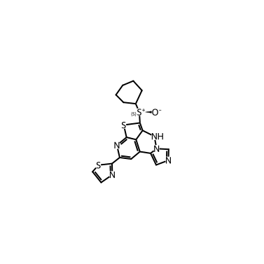 [O-][S@@+](c1sc2nc(-c3nccs3)cc3c2c1[nH]n1cncc31)C1CCCCC1